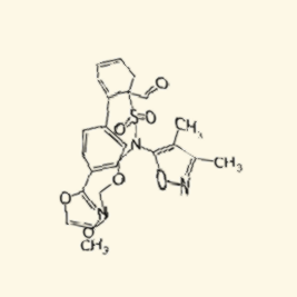 COCCOCN(c1onc(C)c1C)S(=O)(=O)C1(C=O)CC=CC=C1c1ccc(-c2ncco2)cc1